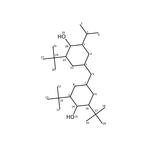 CC(C)C1CC(CC2CC(C(C)(C)C)C(O)C(C(C)(C)C)C2)CC(C(C)(C)C)C1O